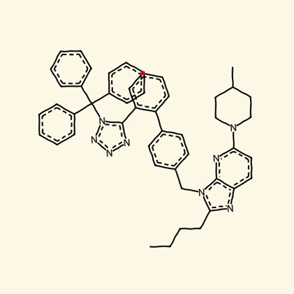 CCCCc1nc2ccc(N3CCC(C)CC3)nc2n1Cc1ccc(-c2ccccc2-c2nnnn2C(c2ccccc2)(c2ccccc2)c2ccccc2)cc1